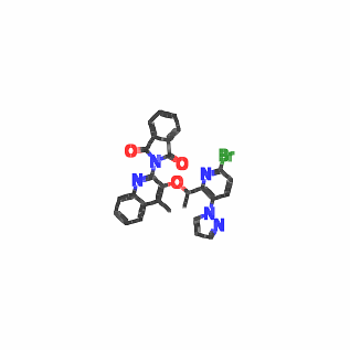 Cc1c(OC(C)c2nc(Br)ccc2-n2cccn2)c(N2C(=O)c3ccccc3C2=O)nc2ccccc12